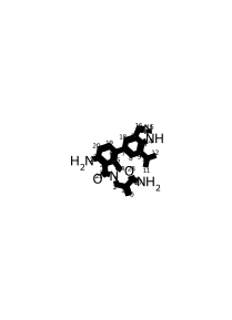 C=C(CN1Cc2c(-c3cc(C(C)C)c4[nH]ncc4c3)ccc(N)c2C1=O)C(N)=O